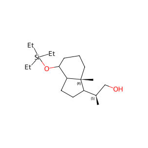 CC[Si](CC)(CC)OC1CCC[C@@]2(C)C1CCC2[C@H](C)CO